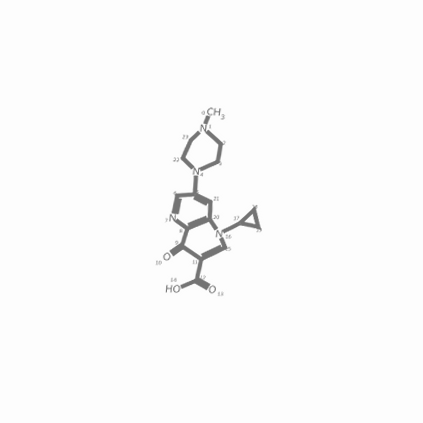 CN1CCN(c2cnc3c(=O)c(C(=O)O)cn(C4CC4)c3c2)CC1